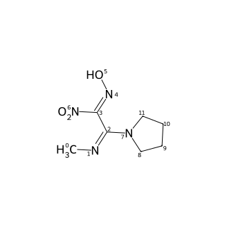 CN=C(C(=NO)[N+](=O)[O-])N1CCCC1